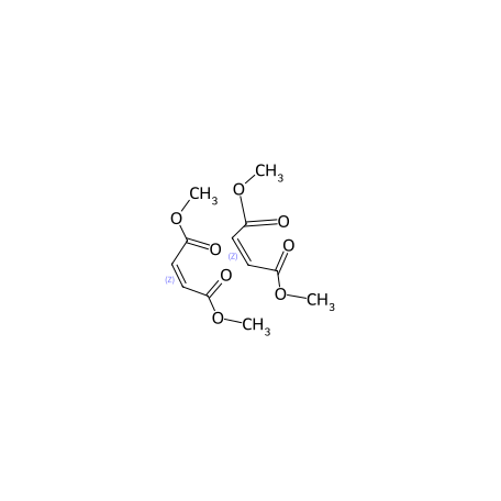 COC(=O)/C=C\C(=O)OC.COC(=O)/C=C\C(=O)OC